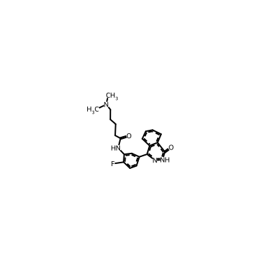 CN(C)CCCCC(=O)Nc1cc(-c2n[nH]c(=O)c3ccccc23)ccc1F